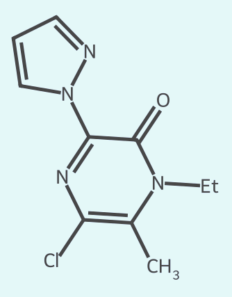 CCn1c(C)c(Cl)nc(-n2cccn2)c1=O